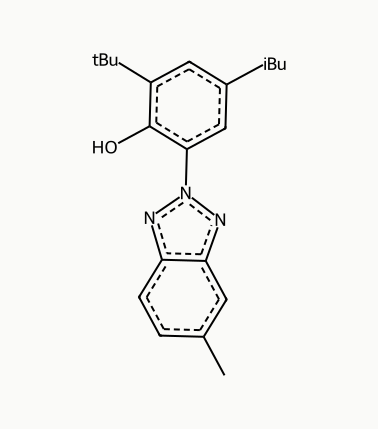 CCC(C)c1cc(-n2nc3ccc(C)cc3n2)c(O)c(C(C)(C)C)c1